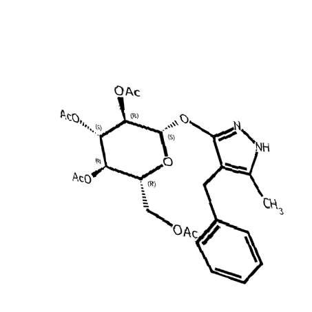 CC(=O)OC[C@H]1O[C@@H](Oc2n[nH]c(C)c2Cc2ccccc2)[C@H](OC(C)=O)[C@@H](OC(C)=O)[C@@H]1OC(C)=O